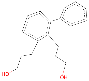 OCCCc1cccc(-c2ccccc2)c1CCCO